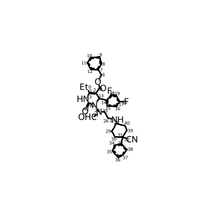 CCC1=C(C(=O)OCc2ccccc2)C(c2ccc(F)cc2F)N(N(C=O)CCNC2CCC(C#N)(c3ccccc3)CC2)C(=O)N1